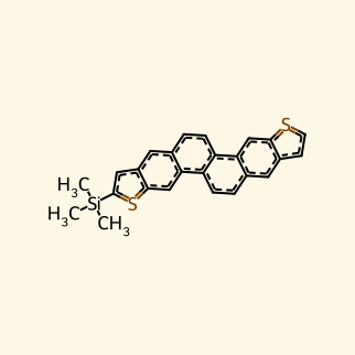 C[Si](C)(C)c1cc2cc3ccc4c5cc6sccc6cc5ccc4c3cc2s1